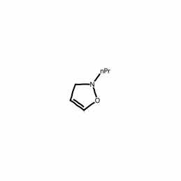 CCCN1CC=[C]O1